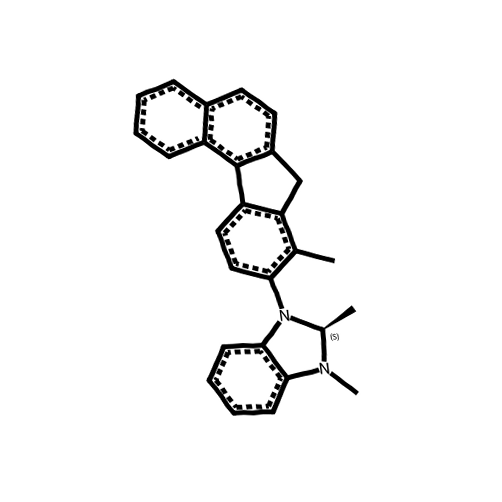 Cc1c(N2c3ccccc3N(C)[C@@H]2C)ccc2c1Cc1ccc3ccccc3c1-2